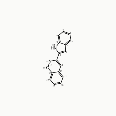 C1=C(c2cc3ccccc3[nH]2)NOc2ccccc21